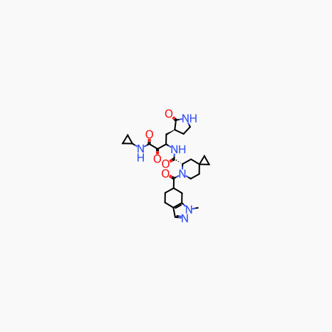 Cn1ncc2c1CC(C(=O)N1CCC3(CC3)C[C@H]1C(=O)NC(C[C@@H]1CCNC1=O)C(=O)C(=O)NC1CC1)CC2